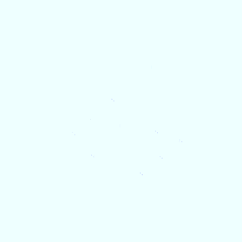 CC(C)N1CC=Cc2c(F)cc(-c3nc(Nc4ccc(CN5CCN(C)CC5)cn4)ncc3F)cc21